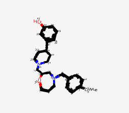 COc1ccc(CN2CCCOC(CN3CCC(c4cccc(O)c4)CC3)C2)cc1